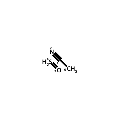 CC#N.O=[SH2]